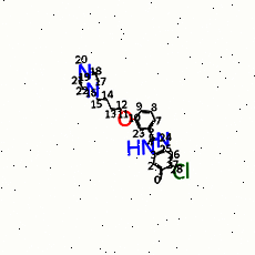 Cc1cc2[nH]c(-c3cccc(OCCCCN4CCN(C)CC4)c3)nc2cc1Cl